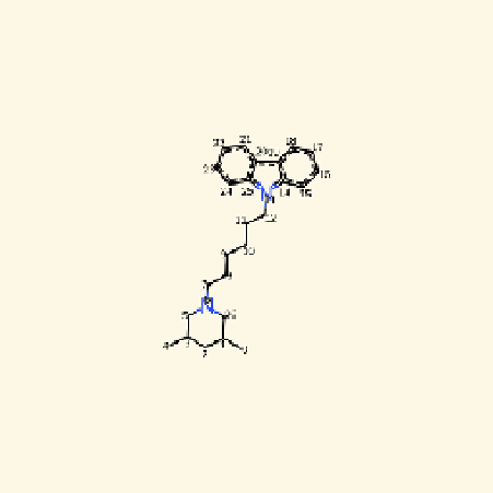 CC1CC(C)CN(CCCCCCn2c3ccccc3c3ccccc32)C1